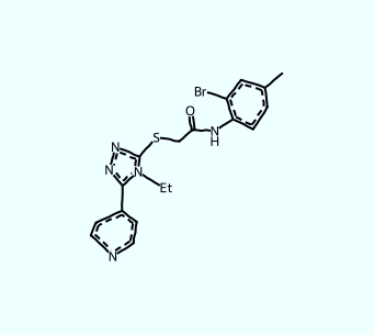 CCn1c(SCC(=O)Nc2ccc(C)cc2Br)nnc1-c1ccncc1